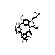 C=CC(=O)Nc1cc(Nc2ncnc(N3CC(F)(F)c4ncccc43)n2)c(OC)cc1N(C)CCN(C)C